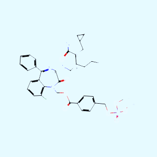 CC(C)(C)OP(=O)(OCc1ccc(C(=O)OCN2C(=O)[C@@H](NC[C@H](CCC(F)(F)F)[C@H](CC3CC3)C(N)=O)N=C(c3ccccc3)c3cccc(F)c32)cc1)OC(C)(C)C